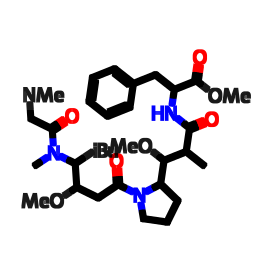 CCC(C)C(C(CC(=O)N1CCCC1C(OC)C(C)C(=O)NC(Cc1ccccc1)C(=O)OC)OC)N(C)C(=O)CNC